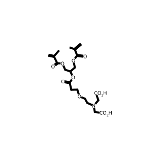 C=C(C)C(=O)OCC(COC(=O)C(=C)C)OC(=O)CCOCCN(CC(=O)O)CC(=O)O